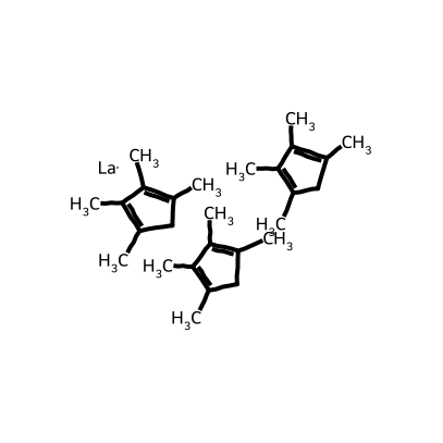 CC1=C(C)C(C)=C(C)C1.CC1=C(C)C(C)=C(C)C1.CC1=C(C)C(C)=C(C)C1.[La]